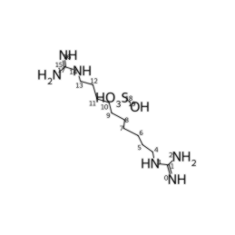 N=C(N)NCCCCCCCCCCNC(=N)N.O=S(=O)(O)O